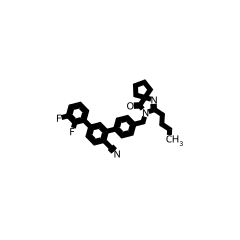 CCCCC1=NC2(CCCC2)C(=O)N1Cc1ccc(-c2cc(-c3cccc(F)c3F)ccc2C#N)cc1